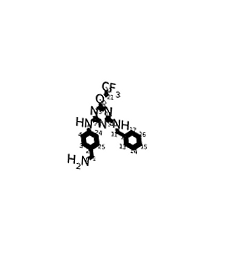 NCc1ccc(Nc2nc(NCc3ccccc3)nc(OCC(F)(F)F)n2)cc1